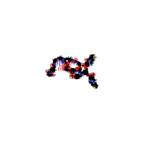 COc1cc2c(cc1OCc1cc(COc3cc4c(cc3OC)C(C)N3Cc5ccsc5CC3C=N4)cc(C[N+](C)(C)Cc3ccc(OS(=O)(=O)Oc4cc(C(=O)NCC(C)(C)COCC(C)(C)CNC(=O)OCC5C6CCC7=C(CC[C@@H]65)N(CC(C)(C)COCC(C)(C)CNC(=O)Cc5ccc(N6C(=O)C=CC6=O)cc5)NN7)ccc4O[C@H]4CC(O)C(O)[C@@H](CO)O4)cc3)c1)N=CC1Cc3sccc3CN1C2=O